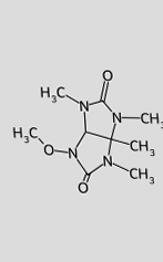 CON1C(=O)N(C)C2(C)C1N(C)C(=O)N2C